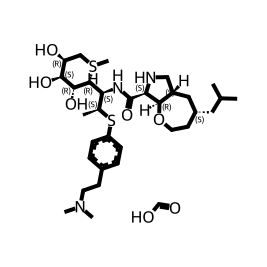 CC(C)C[C@@H]1CCO[C@@H]2[C@H](CN[C@@H]2C(=O)N[C@H]([C@@H]2[C@H](O)[C@@H](O)[C@@H](O)C[SH]2C)[C@H](C)Sc2ccc(CCN(C)C)cc2)C1.O=CO